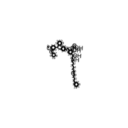 COc1ccc([C@H](Cc2cc[n+](Cc3ccc(C(O)CNCCCCCCOCCCCc4ccccc4)cc3OP(=O)(O)O)cc2)c2ccccc2)cc1OC1CCCC1